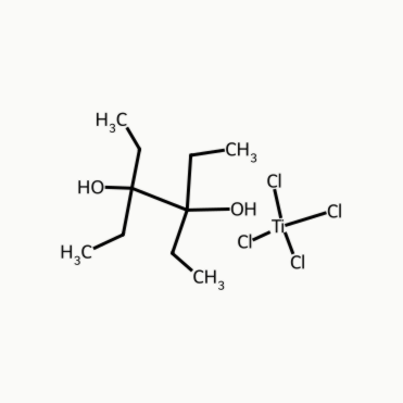 CCC(O)(CC)C(O)(CC)CC.[Cl][Ti]([Cl])([Cl])[Cl]